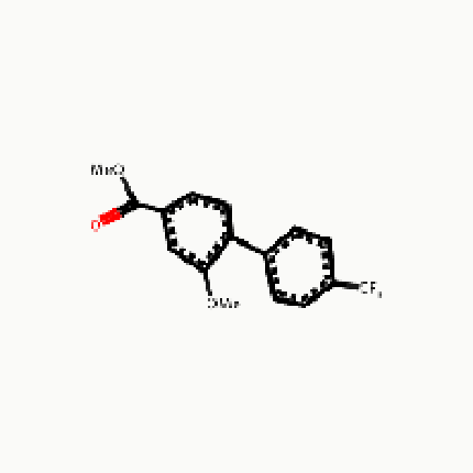 COC(=O)c1ccc(-c2ccc(C(F)(F)F)cc2)c(OC)c1